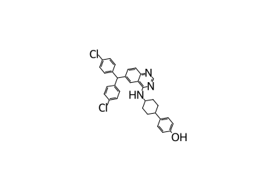 Oc1ccc(C2CCC(Nc3ncnc4ccc(C(c5ccc(Cl)cc5)c5ccc(Cl)cc5)cc34)CC2)cc1